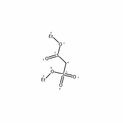 CCOS(=O)CS(=O)(=O)OCC